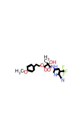 COc1ccc(CCOC(=O)C(C)(O)C(=O)Nc2cnc(C#N)c(C(F)(F)F)c2)cc1